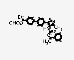 CCC(OC=O)c1ccc(-c2ccc(-c3snc(C)c3NC(=O)O[C@H](C)c3ccccc3)cc2)cc1